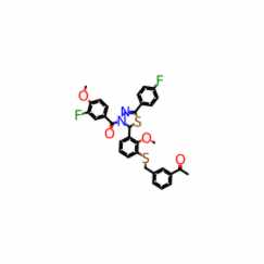 COc1ccc(C(=O)N2N=C(c3ccc(F)cc3)SC2c2cccc(SCc3cccc(C(C)=O)c3)c2OC)cc1F